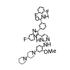 COc1cc(N2CCC(N3CCCCC3)CC2)ccc1NC1N=CC=C(c2c(-c3cccc(C(=O)Nc4c(F)cccc4F)c3)nc3cc(F)ccn23)N1